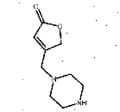 O=C1C=C(CN2CCNCC2)CO1